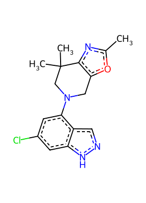 Cc1nc2c(o1)CN(c1cc(Cl)cc3[nH]ncc13)CC2(C)C